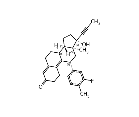 CC#C[C@]1(O)CC[C@H]2[C@@H]3CCC4=CC(=O)CCC4=C3[C@@H](c3ccc(C)c(F)c3)C[C@@]21C